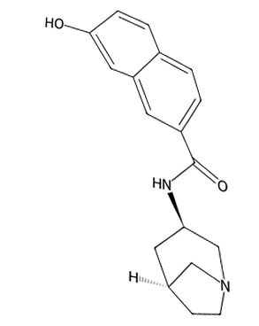 O=C(N[C@@H]1C[C@@H]2CCN(C2)C1)c1ccc2ccc(O)cc2c1